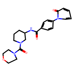 O=C(NC1[CH]CCN(C(=O)N2CCOCC2)C1)c1ccc(-n2ccccc2=O)cc1